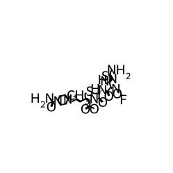 C[N+]1(C/C=C/C2=C(C(=O)[O-])N3C(=O)[C@@H](NC(=O)/C(=N\OCF)c4nsc(N)n4)[C@@H]3SC2)CCN(C(N)=O)CC1